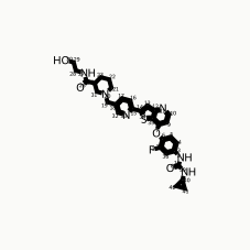 O=C(Nc1ccc(Oc2ccnc3cc(-c4ccc(CN5CCCC(C(=O)NCCO)C5)cn4)sc23)c(F)c1)NC1CC1